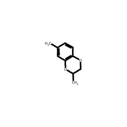 Cc1ccc2c(c1)OC(C)CO2